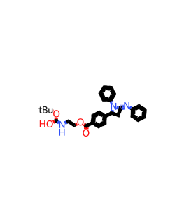 CC(C)(C)OC(O)NCCOC(=O)c1ccc(C2C/C(=N\c3ccccc3)N2c2ccccc2)cc1